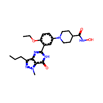 CCCc1nn(C)c2c(=O)[nH]c(-c3cc(N4CCC(C(=O)NO)CC4)ccc3OCC)nc12